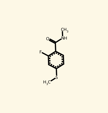 CNC(=O)c1ccc(SC)cc1F